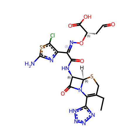 CCC1=C(c2nnn[nH]2)N2C(=O)[C@@H](NC(=O)/C(=N\O[C@@H](CC=O)C(=O)O)c3nc(N)sc3Cl)[C@H]2SC1